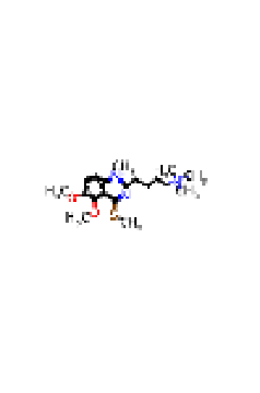 COc1ccc2c(c(SC)nc(CCCC[N+](C)(C)C)[n+]2C)c1OC